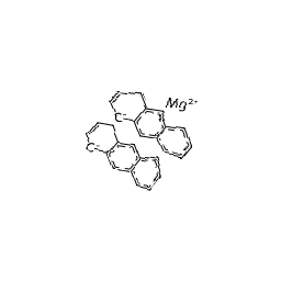 C1=CCc2cc3ccccc3cc2[CH-]1.C1=CCc2cc3ccccc3cc2[CH-]1.[Mg+2]